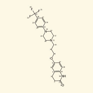 O=C1CCc2cc(OCCCN3CCN(c4ccc(C(F)(F)F)cc4)CC3)ccc2N1